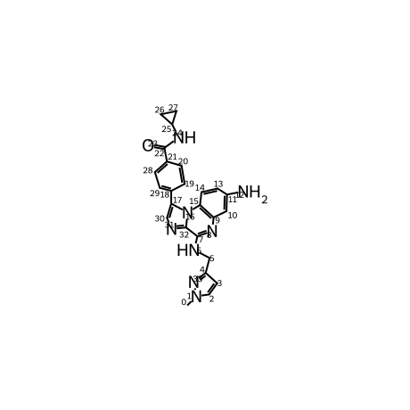 Cn1ccc(CNc2nc3cc(N)ccc3n3c(-c4ccc(C(=O)NC5CC5)cc4)cnc23)n1